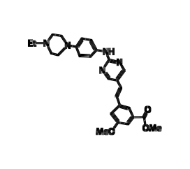 CCN1CCN(c2ccc(Nc3ncc(C=Cc4cc(OC)cc(C(=O)OC)c4)cn3)cc2)CC1